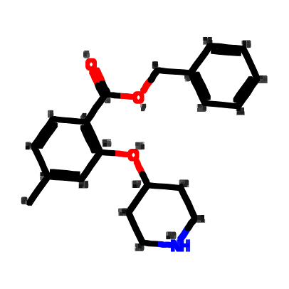 Cc1ccc(C(=O)OCc2ccccc2)c(OC2CCNCC2)c1